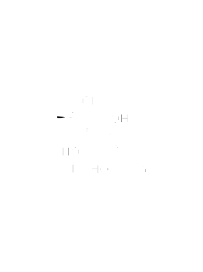 C[C@@H](O)[C@@H](O)[C@H](O)[C@@H](O)C=O.[H+]